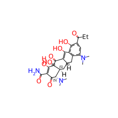 CCC(=O)c1cc(N(C)C)c2c(c1O)C(O)=C1C(=O)[C@]3(O)C(O)=C(C(N)=O)C(=O)[C@@H](N(C)C)[C@@H]3C[C@@H]1C2